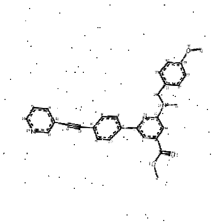 COC(=O)c1cc(-c2ccc(C#Cc3cccnc3)cc2)nc(N(C)Cc2ccc(OC)cc2)c1